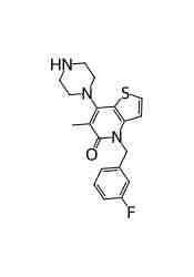 Cc1c(N2CCNCC2)c2sccc2n(Cc2cccc(F)c2)c1=O